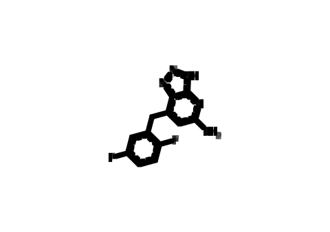 Nc1cc(Cc2cc(F)ccc2F)c2nn[nH]c2n1